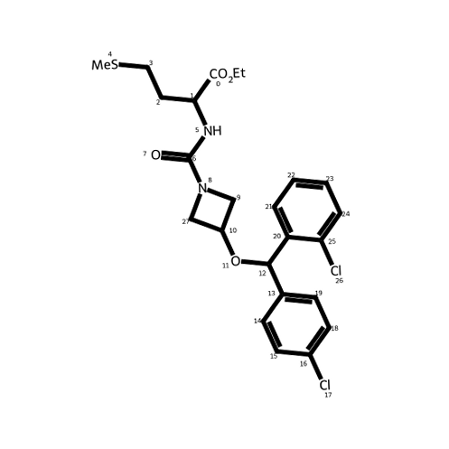 CCOC(=O)C(CCSC)NC(=O)N1CC(OC(c2ccc(Cl)cc2)c2ccccc2Cl)C1